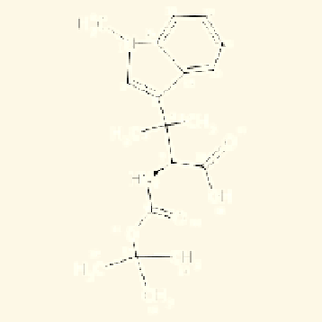 Cn1cc(C(C)(C)[C@H](NC(=O)OC(C)(C)C)C(=O)O)c2ccccc21